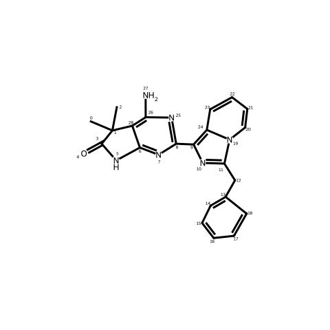 CC1(C)C(=O)Nc2nc(-c3nc(Cc4ccccc4)n4ccccc34)nc(N)c21